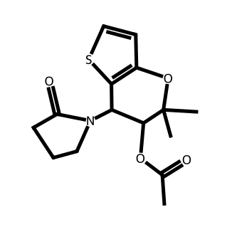 CC(=O)OC1C(N2CCCC2=O)c2sccc2OC1(C)C